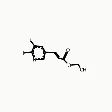 CCOC(=O)/C=C/c1cnc(I)c(I)c1